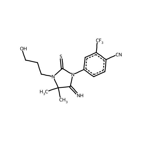 CC1(C)C(=N)N(c2ccc(C#N)c(C(F)(F)F)c2)C(=S)N1CCCO